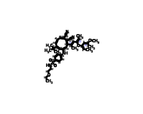 C/C=C(\C=C(/C)OC)OC(=C/C)/C=C(\C)c1cc(Nc2ccc(S(=O)(=O)NCCOCC)cc2)cc(C(C)(C)C)cccc(C#N)c1C#N